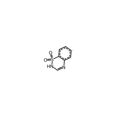 O=S1(=O)NC=Nc2c[c]ccc21